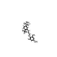 CCc1cc(O)cc(C)c1OCCCc1cc(S(N)(=O)=O)ccc1C(F)(F)F